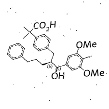 COc1cc([C@@H](O)[C@@H](CCCc2ccccc2)Cc2ccc(C(C)(C)C(=O)O)cc2)cc(OC)c1C